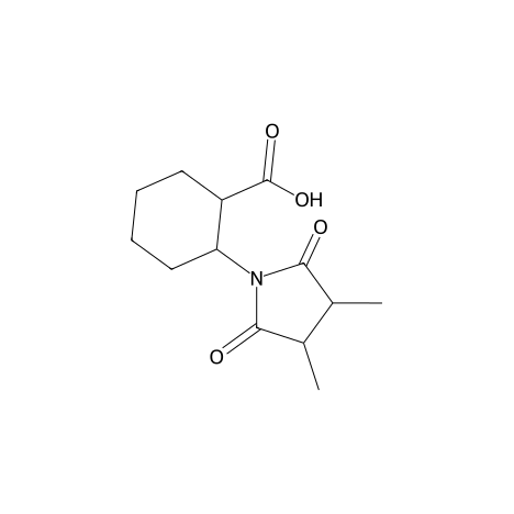 CC1C(=O)N(C2CCCCC2C(=O)O)C(=O)C1C